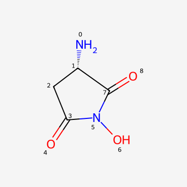 N[C@H]1CC(=O)N(O)C1=O